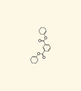 O=C(OC1=CCCCC1)c1cccc(C(=O)OC2=CCCCC2)c1